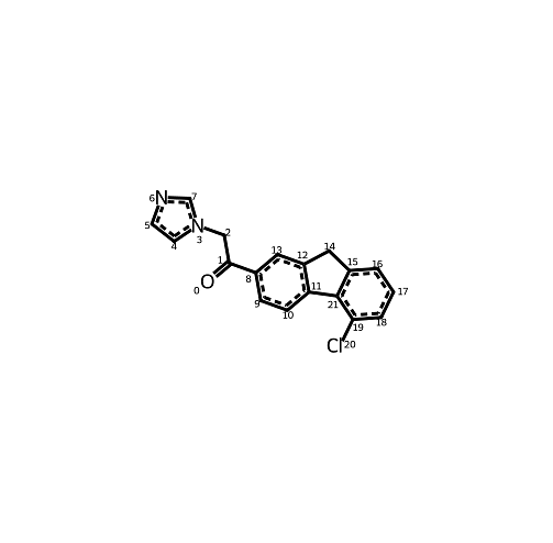 O=C(Cn1ccnc1)c1ccc2c(c1)Cc1cccc(Cl)c1-2